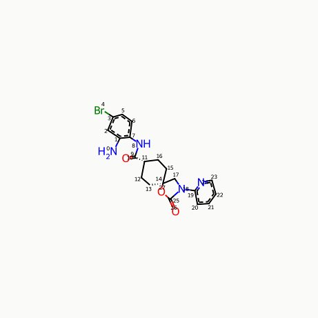 Nc1cc(Br)ccc1NC(=O)[C@H]1CC[C@]2(CC1)CN(c1ccccn1)C(=O)O2